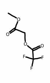 COC(=O)COC(=O)C(F)(F)F